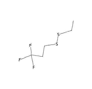 CCSSCCC(F)(F)F